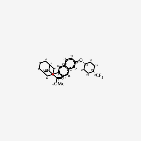 COC(=O)C1CC2CCCC(C1)N2Cc1ccc2cc(O[C@H]3CC[C@@H](C(F)(F)F)CC3)ccc2c1